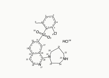 Cc1cccc(Cl)c1S(=O)(=O)c1ccc2ccnc(N3CCCNCC3)c2c1.Cl